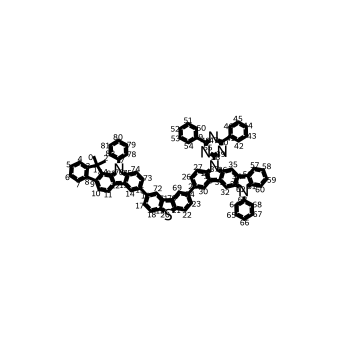 CC1(C)c2ccccc2-c2ccc3c4cc(-c5ccc6sc7ccc(-c8ccc9c(c8)c8cc%10c(cc8n9-c8nc(-c9ccccc9)nc(-c9ccccc9)n8)c8ccccc8n%10-c8ccccc8)cc7c6c5)ccc4n(-c4ccccc4)c3c21